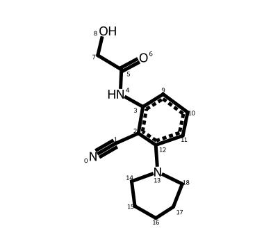 N#Cc1c(NC(=O)CO)cccc1N1CCCCC1